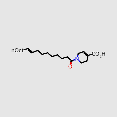 CCCCCCCC/C=C/CCCCCCCC(=O)N1CC=C(C(=O)O)CC1